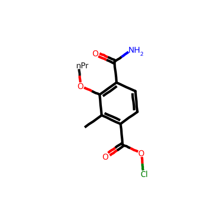 CCCOc1c(C(N)=O)ccc(C(=O)OCl)c1C